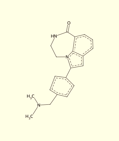 CN(C)Cc1ccc(-c2cc3cccc4c3n2CCNC4=O)cc1